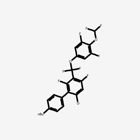 CCCCc1ccc(-c2c([O])cc(F)c(C(F)(F)Oc3cc(F)c(OC(F)F)c(F)c3)c2F)cc1